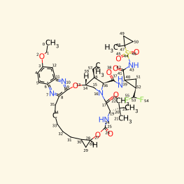 CCOc1ccc2nc3c(nc2c1)O[C@H]1CN(C(=O)[C@H](C(C)(C)C)NC(=O)O[C@@H]2CC2CCCCC3)[C@H](C(=O)N[C@]2(C(=O)NS(=O)(=O)C3(C)CC3)C[C@H]2C(F)F)[C@@H]1CC